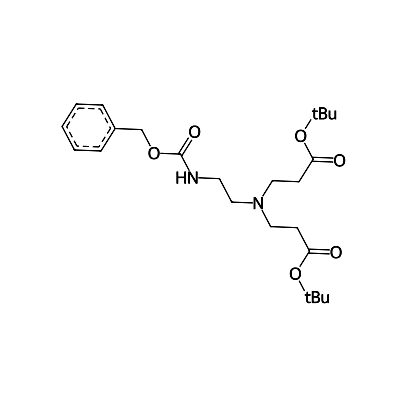 CC(C)(C)OC(=O)CCN(CCNC(=O)OCc1ccccc1)CCC(=O)OC(C)(C)C